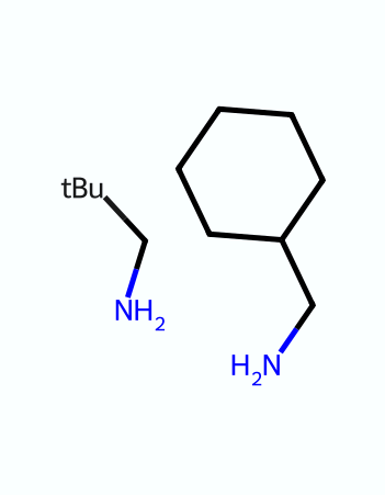 CC(C)(C)CN.NCC1CCCCC1